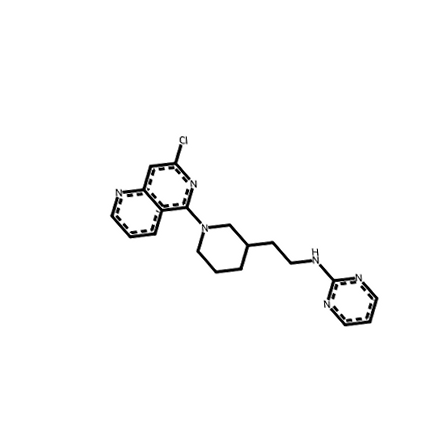 Clc1cc2ncccc2c(N2CCCC(CCNc3ncccn3)C2)n1